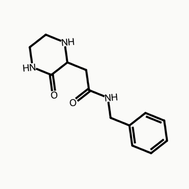 O=C(CC1NCCNC1=O)NCc1ccccc1